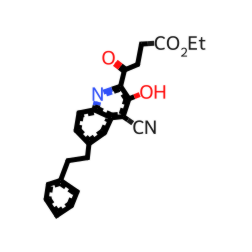 CCOC(=O)CCC(=O)c1nc2ccc(CCc3ccccc3)cc2c(C#N)c1O